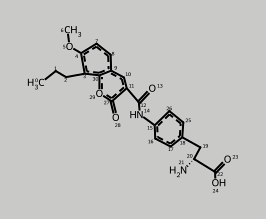 CCCc1c(OC)ccc2cc(C(=O)Nc3ccc(C[C@@H](N)C(=O)O)cc3)c(=O)oc12